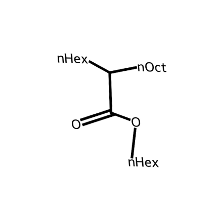 CCCCCCCCC(CCCCCC)C(=O)OCCCCCC